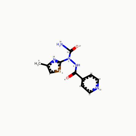 Cc1csc(N(NC(=O)c2ccncc2)C(N)=O)n1